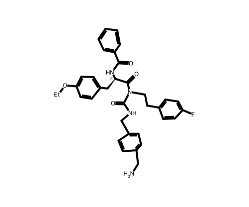 CCOc1ccc(C[C@@H](NC(=O)c2ccccc2)C(=O)N(CCc2ccc(F)cc2)C(=O)NCc2ccc(CN)cc2)cc1